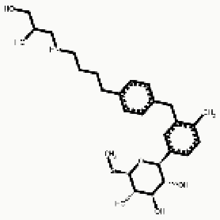 CS[C@H]1O[C@@H](c2ccc(C)c(Cc3ccc(CCCCNCC(O)CO)cc3)c2)[C@H](O)[C@@H](O)[C@@H]1O